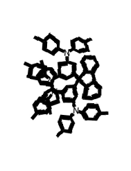 Cc1ccc(N(c2ccc(C)cc2)c2cc(N(c3ccc(C)cc3)c3ccc(C)cc3)cc(C3(c4cc(N(c5ccc(C)cc5)c5ccc(C)cc5)cc(N(c5ccc(C)cc5)c5ccc(C)cc5)c4)c4ccccc4-c4ccccc43)c2)cc1